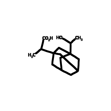 CC(O)C12CC3CC(C1)CC(C(C)C(=O)O)(C3)C2